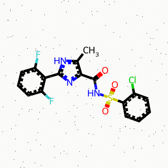 Cc1[nH]c(-c2c(F)cccc2F)nc1C(=O)NS(=O)(=O)c1ccccc1Cl